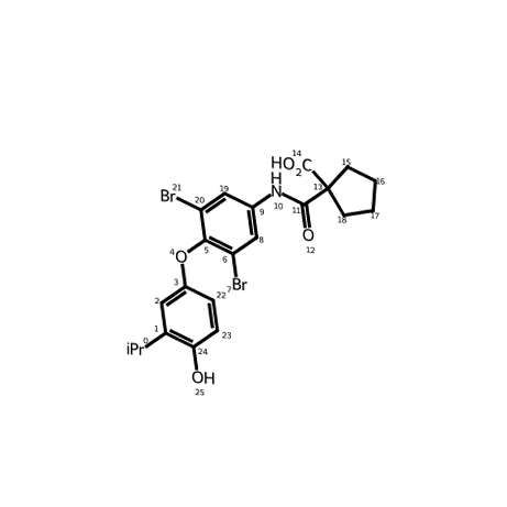 CC(C)c1cc(Oc2c(Br)cc(NC(=O)C3(C(=O)O)CCCC3)cc2Br)ccc1O